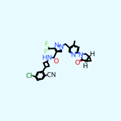 Cc1cc(N2C[C@H]3C[C@H]3C2=O)ncc1Cn1cc(C(=O)NC2CC(c3cc(Cl)ccc3C#N)C2)c(C(F)F)n1